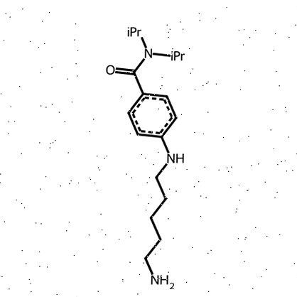 CC(C)N(C(=O)c1ccc(NCCCCCN)cc1)C(C)C